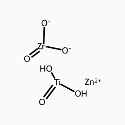 [O]=[Ti]([OH])[OH].[O]=[Zr]([O-])[O-].[Zn+2]